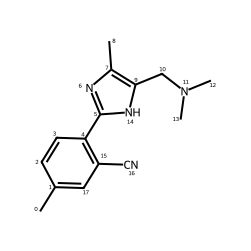 Cc1ccc(-c2nc(C)c(CN(C)C)[nH]2)c(C#N)c1